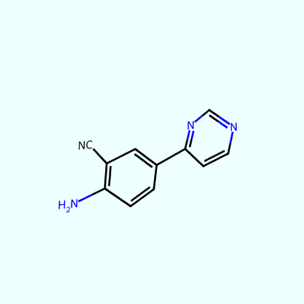 N#Cc1cc(-c2ccncn2)ccc1N